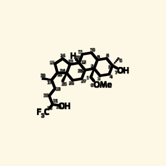 COC[C@]12CC[C@](C)(O)CC1CC[C@H]1C3CCC([C@H](C)CCC(O)C(F)(F)F)[C@@]3(C)CCC12